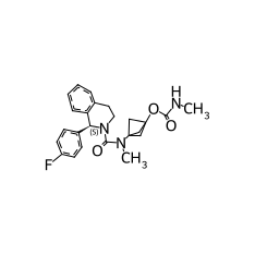 CNC(=O)OC12CC(N(C)C(=O)N3CCc4ccccc4[C@@H]3c3ccc(F)cc3)(C1)C2